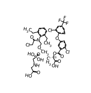 CCc1cccc(CC)c1N(COC)C(=O)CCl.C[C@H](OC(=O)c1cc(Oc2ccc(C(F)(F)F)cc2Cl)ccc1Cl)C(=O)O.O=C(O)CNCP(=O)(O)O